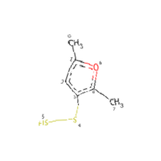 Cc1cc(SS)c(C)o1